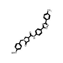 COc1ccc(CN2CC(C(=O)Nc3ccc(-c4nc(-c5ccc(C)cc5)no4)cc3)CC2=O)cc1